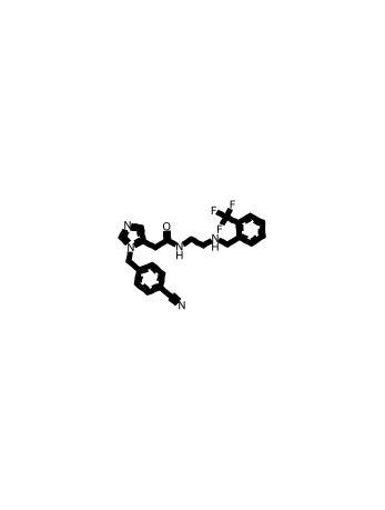 N#Cc1ccc(Cn2cncc2CC(=O)NCCNCc2ccccc2C(F)(F)F)cc1